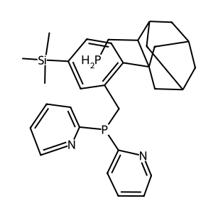 C[Si](C)(C)c1ccc(C23CC4CC(CC(C4)C2CP)C3)c(CP(c2ccccn2)c2ccccn2)c1